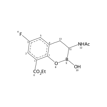 CCOC(=O)c1cc(F)cc2c1OB(O)C(NC(C)=O)C2